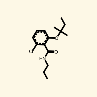 CCCNC(=O)c1c(Cl)cccc1OC(C)(C)CC